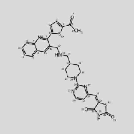 CC(=O)c1ccc(-c2nc3ccccc3cc2CNCC2CCN(c3nccc(C=C4SC(=O)NC4=O)n3)CC2)s1